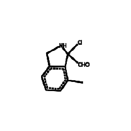 Cc1cccc2c1C(Cl)(C=O)NC2